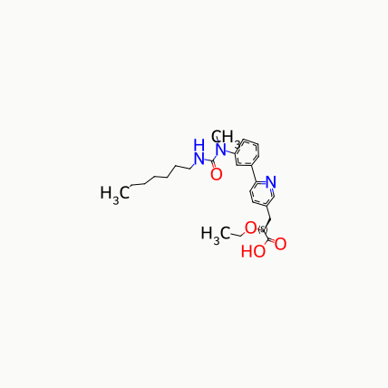 CCCCCCCNC(=O)N(C)c1cccc(-c2ccc(C[C@H](OCC)C(=O)O)cn2)c1